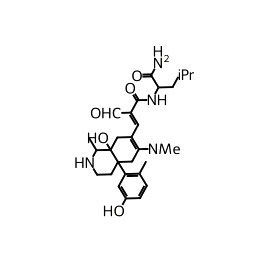 CNC1=C(/C=C(\C=O)C(=O)NC(CC(C)C)C(N)=O)CC2(O)C(C)NCCC2(c2cc(O)ccc2C)C1